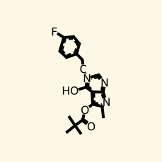 Cc1nc2ncn(CCc3ccc(F)cc3)c(O)c-2c1OC(=O)C(C)(C)C